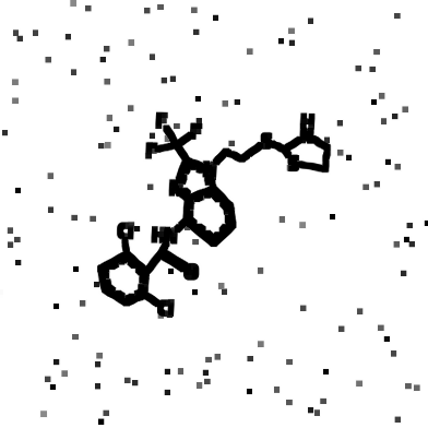 O=C(Nc1cccc2c1nc(C(F)(F)F)n2CCSC1NCCS1)c1c(Cl)cccc1Cl